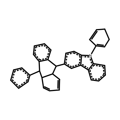 C1=CC2C(c3ccccc3)c3ccccc3C(c3ccc4c(c3)c3ccccc3n4C3=CCCC=C3)C2C=C1